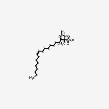 CCCCCCCC/C=C\CCCCCCCC(=O)C(C)(CN)S(=O)(=O)O